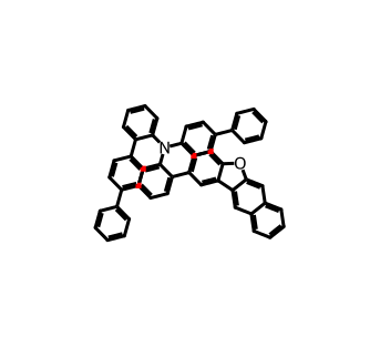 c1ccc(-c2ccc(-c3ccccc3N(c3ccc(-c4ccccc4)cc3)c3ccccc3-c3ccc4oc5cc6ccccc6cc5c4c3)cc2)cc1